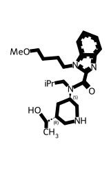 COCCCCn1c(C(=O)N(CC(C)C)[C@@H]2CNC[C@H](C(C)O)C2)nc2ccccc21